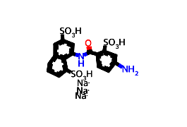 Nc1ccc(C(=O)Nc2cc(S(=O)(=O)O)cc3cccc(S(=O)(=O)O)c23)c(S(=O)(=O)O)c1.[Na].[Na].[Na]